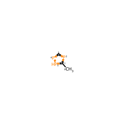 Cc1pcp[pH]1